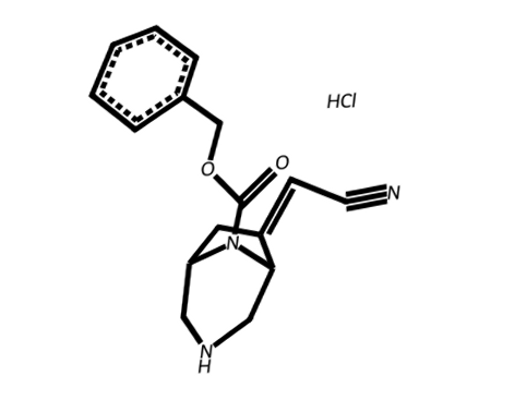 Cl.N#CC=C1CC2CNCC1N2C(=O)OCc1ccccc1